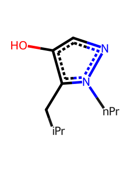 CCCn1ncc(O)c1CC(C)C